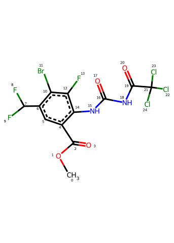 COC(=O)c1cc(C(F)F)c(Br)c(F)c1NC(=O)NC(=O)C(Cl)(Cl)Cl